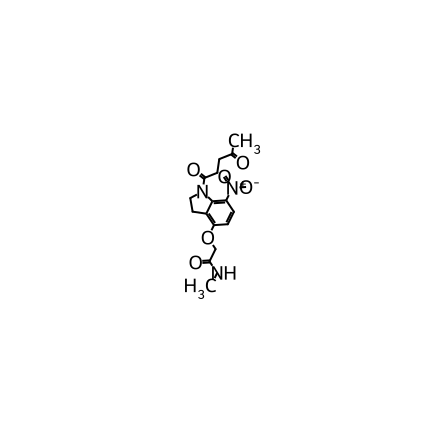 CNC(=O)COc1ccc([N+](=O)[O-])c2c1CCN2C(=O)CCC(C)=O